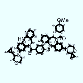 CO[C@H]1CC[C@H](C(=O)N2Cc3cccnc3N(O[C@H]3CC[C@H](C(=O)N4Cc5cccnc5Nc5ccc(N6CCOCC6C6CC6)cc54)CC3)c3ccc(N4CCOC5(CC5)C4)cc32)CC1